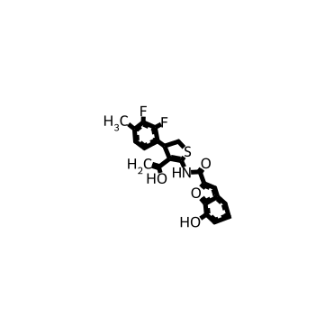 C=C(O)C1=C(NC(=O)c2cc3cccc(O)c3o2)SCC1c1ccc(C)c(F)c1F